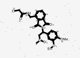 CCOc1cc(C(C[S+](C)[O-])N2C(=O)c3cccc(CNC(=O)CCl)c3C2=O)ccc1OC